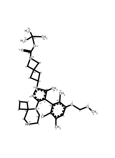 COCOc1cc(C)c(Cl)c(-c2c(N3CCNCC34CCC4)nn(C3CC4(C3)CN(C(=O)OC(C)(C)C)C4)c2C)c1C